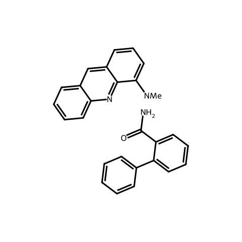 CNc1cccc2cc3ccccc3nc12.NC(=O)c1ccccc1-c1ccccc1